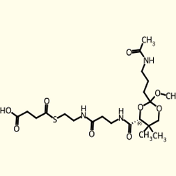 COC1(CCCNC(C)=O)OCC(C)(C)[C@H](C(=O)NCCC(=O)NCCSC(=O)CCC(=O)O)O1